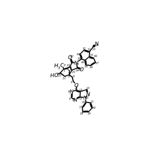 CC12OC(CCOc3ncnc4c3cnn4-c3ccccc3)(CC1O)C1C(=O)N(c3ccc(C#N)c4ccccc34)C(=O)C12